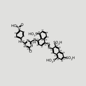 O=S(O)c1ccc(Nc2nc(Cl)nc(Nc3ccc(N=Nc4cc5c(S(=O)(=O)O)cc(S(=O)(=O)O)cc5cc4S(=O)(=O)O)c4cccc(S(=O)(=O)O)c34)n2)cc1